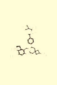 COc1cc(C)c2[nH]ccc2c1CN1CCC2(CC(C#N)C2)C[C@H]1c1ccc(C(=O)NC(C)C2COC2)cc1